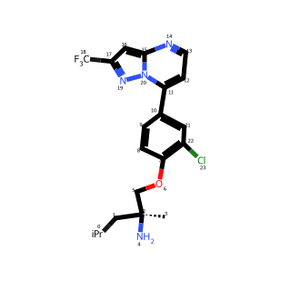 CC(C)C[C@](C)(N)COc1ccc(-c2ccnc3cc(C(F)(F)F)nn23)cc1Cl